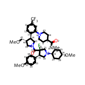 CNC(=O)C1CCN(c2cc(C(F)(F)F)ccc2[C@H]2CN(C(=O)[C@]3(F)CN([C@H]4CC[C@H](OC)CC4)C[C@H]3c3ccc(OC)cc3)C[C@@H]2COC)CC1